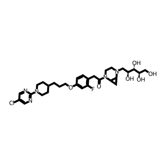 O=C(Cc1ccc(OCCCC2CCN(c3ncc(Cl)cn3)CC2)cc1F)N1CCN(C[C@H](O)[C@H](O)[C@H](O)CO)C2CC21